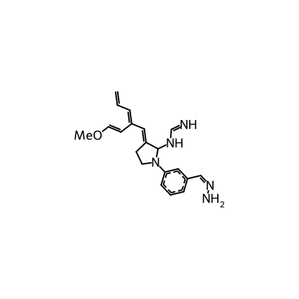 C=C/C=C(\C=C\OC)/C=C1\CCN(c2cccc(/C=N\N)c2)C1NC=N